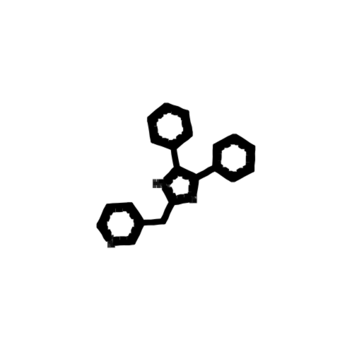 c1ccc(-c2nc(Cc3cccnc3)[nH]c2-c2ccccc2)cc1